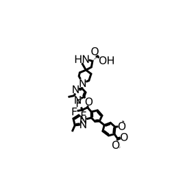 COC(=O)c1ccc(-c2ccc(C(Oc3cc(N4CCC5(CC4)CN[C@H](C(=O)O)C5)nc(C)n3)C(F)(F)F)c(-n3ccc(C)n3)c2)cc1OC